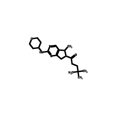 CC1c2cnc(NC3CCOCC3)nc2CN1C(=O)CCC(C)(C)C